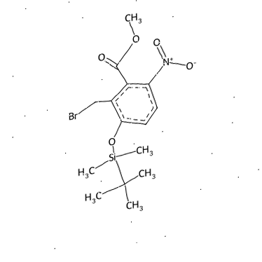 COC(=O)c1c([N+](=O)[O-])ccc(O[Si](C)(C)C(C)(C)C)c1CBr